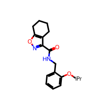 CC(C)Oc1ccccc1CNC(=O)c1noc2c1CCCC2